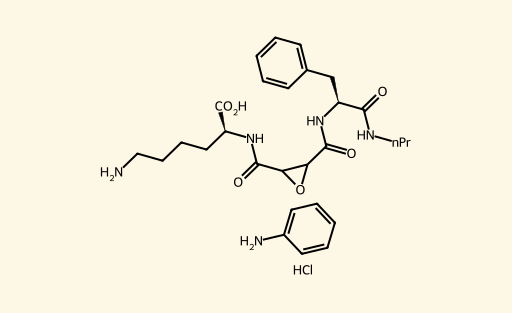 CCCNC(=O)[C@H](Cc1ccccc1)NC(=O)C1OC1C(=O)N[C@@H](CCCCN)C(=O)O.Cl.Nc1ccccc1